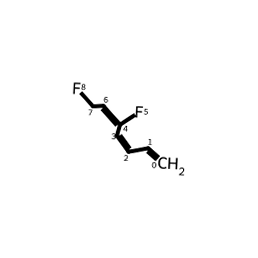 C=C/C=C\C(F)=C/CF